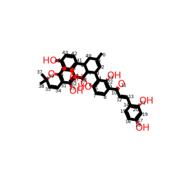 CC1=CC(c2c(O)ccc(C(=O)/C=C/c3ccc(O)cc3O)c2O)C(C(=O)c2ccc3c(c2O)C=CC(C)(C)O3)C(c2ccc(O)cc2O)C1